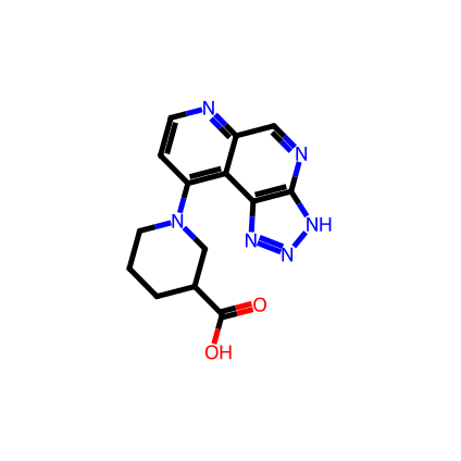 O=C(O)C1CCCN(c2ccnc3cnc4[nH]nnc4c23)C1